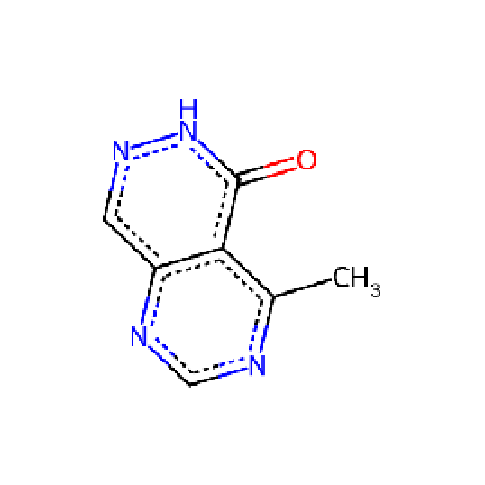 Cc1ncnc2cn[nH]c(=O)c12